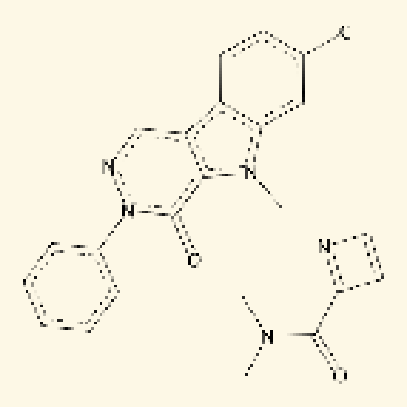 CN(C)C(=O)C1=NC=C1.Cn1c2cc(Cl)ccc2c2cnn(-c3ccccc3)c(=O)c21